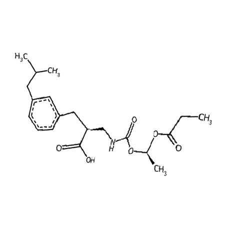 CCC(=O)O[C@@H](C)OC(=O)NC[C@H](Cc1cccc(CC(C)C)c1)C(=O)O